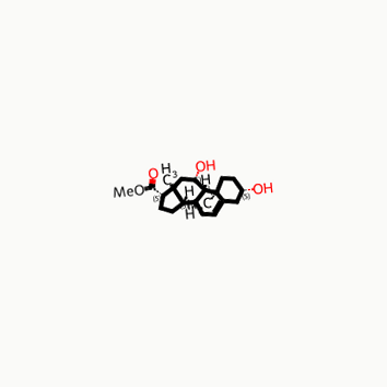 COC(=O)[C@H]1CC[C@H]2[C@@H]3CC=C4C[C@@H](O)CC[C@]4(C)[C@H]3[C@@H](O)C[C@]12C